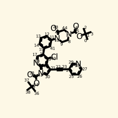 CC(C)(C)OC(=O)N1CCN(c2cccc(-c3cnc4c(c(C#Cc5cccnc5)cn4C(=O)OC(C)(C)C)c3Cl)c2)C(=O)C1